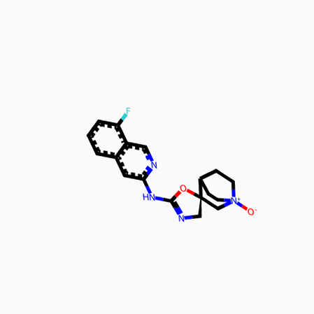 [O-][N+]12CCC(CC1)[C@]1(CN=C(Nc3cc4cccc(F)c4cn3)O1)C2